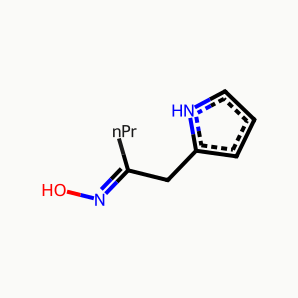 CCC/C(Cc1ccc[nH]1)=N\O